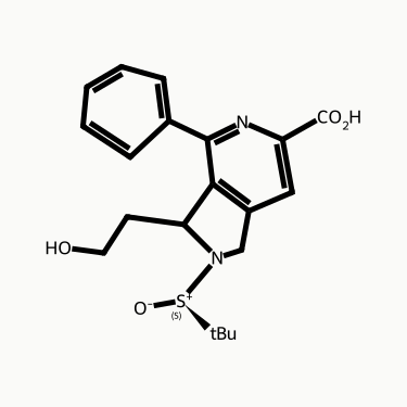 CC(C)(C)[S@@+]([O-])N1Cc2cc(C(=O)O)nc(-c3ccccc3)c2C1CCO